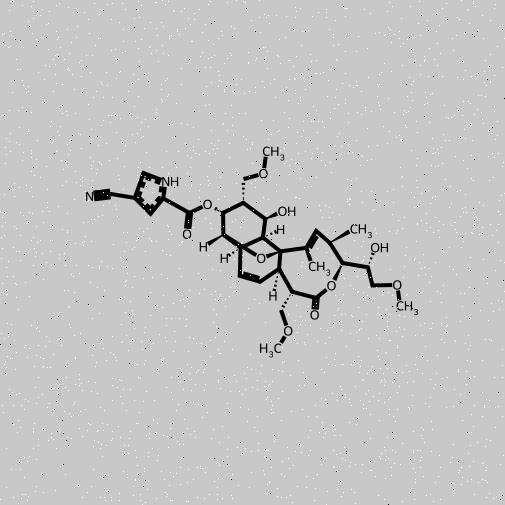 COC[C@@H]1[C@@H](O)[C@@H]2[C@H]3C=C[C@@H]4[C@@H](COC)C(=O)O[C@H]([C@H](O)COC)[C@H](C)/C=C(\C)[C@@]24O[C@H]3[C@@H]1OC(=O)c1cc(C#N)c[nH]1